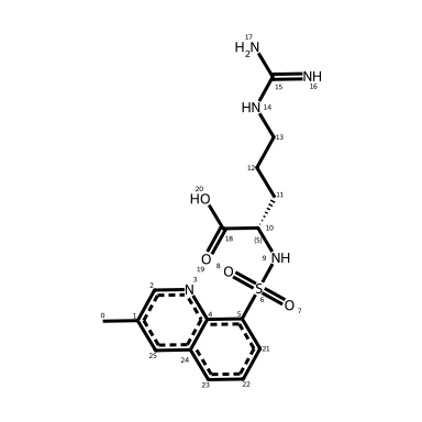 Cc1cnc2c(S(=O)(=O)N[C@@H](CCCNC(=N)N)C(=O)O)cccc2c1